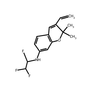 C=CC1=Cc2ccc(NC(F)C(F)F)cc2OC1(C)C